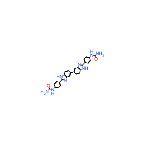 NC(=O)Nc1ccc(-c2nc3cc(-c4ccc5[nH]c(-c6ccc(NC(N)=O)cc6)nc5c4)ccc3[nH]2)cc1